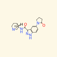 O=C(N[C@@H]1CN2CCC1CC2)c1n[nH]c2ccc(N3CCCC3=O)cc12